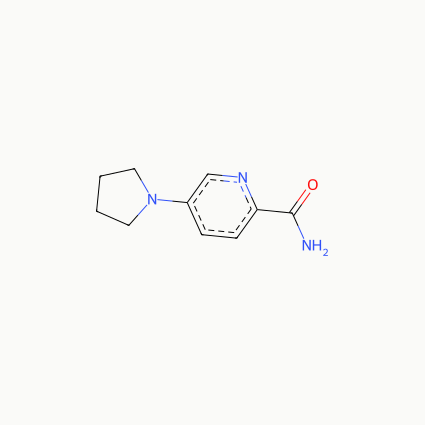 NC(=O)c1ccc(N2CCCC2)cn1